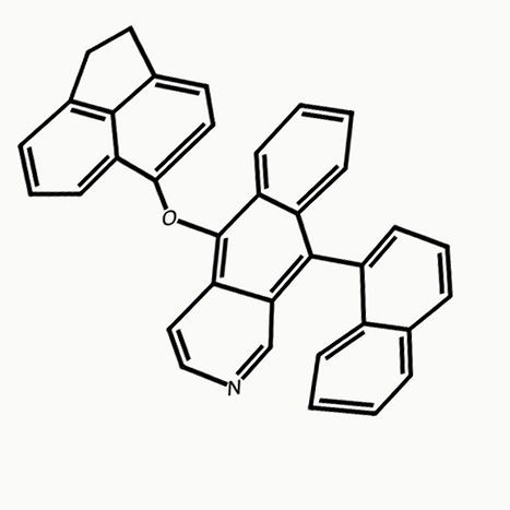 c1ccc2c(-c3c4ccccc4c(Oc4ccc5c6c(cccc46)CC5)c4ccncc34)cccc2c1